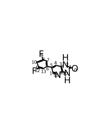 O=c1[nH]c2cc(-c3cc(F)cc(F)c3)cnc2[nH]1